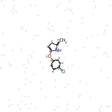 C=C1CC=C(Oc2ccc(Cl)cc2)N1